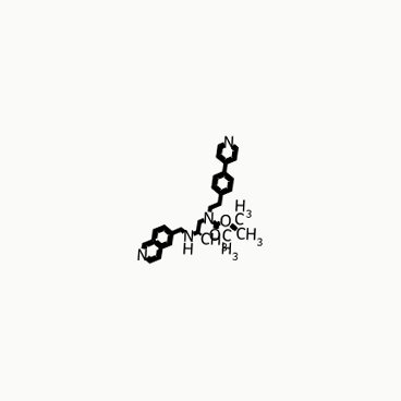 C[C@H](CN(CCc1ccc(-c2ccncc2)cc1)C(=O)OC(C)(C)C)NCc1ccc2cnccc2c1